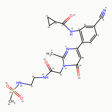 Cc1nc(-c2ccc(C#N)cc2NC(=O)C2CC2)cc(=O)n1CC(=O)NCCNS(C)(=O)=O